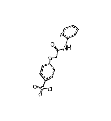 O=C(COc1ccc(S(=O)(=O)Cl)cc1)Nc1ccccn1